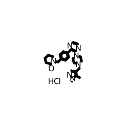 Cc1c(CN2CCN(c3nccnc3-c3ccc(CN4CCCCC4=O)cc3)CC2)cnn1C.Cl